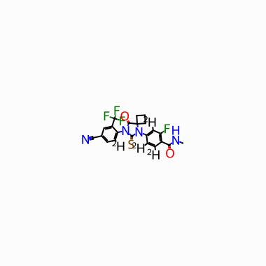 [2H]c1cc(C#N)cc(C(F)(F)F)c1N1C(=O)C2(CCC2)N(c2c([2H])c([2H])c(C(=O)NC)c(F)c2[2H])C1=S